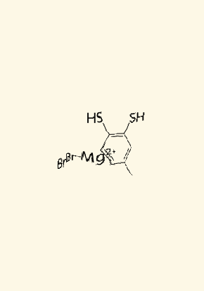 Cc1ccc(S)c(S)c1.[Br-].[Br-].[Mg+2]